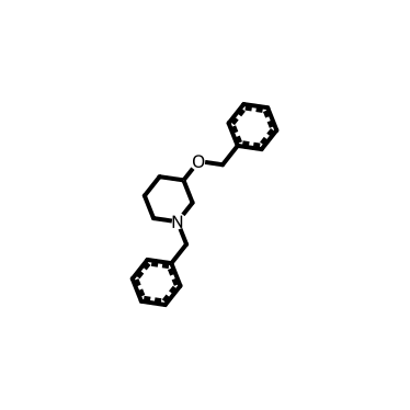 c1ccc(COC2CCCN(Cc3ccccc3)C2)cc1